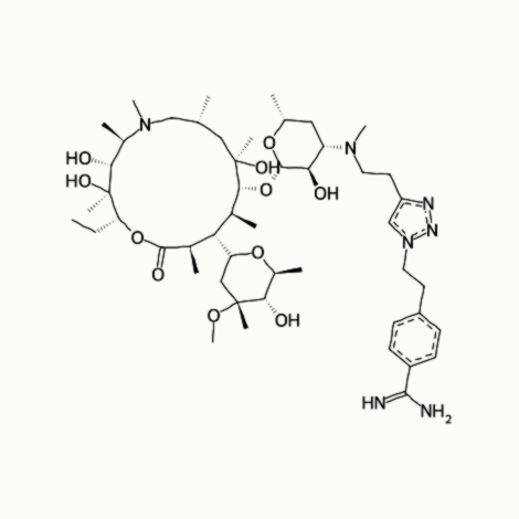 CC[C@H]1OC(=O)[C@H](C)[C@@H](C2C[C@@](C)(OC)[C@@H](O)[C@H](C)O2)[C@H](C)[C@@H](O[C@@H]2O[C@H](C)C[C@H](N(C)CCc3cn(CCc4ccc(C(=N)N)cc4)nn3)[C@H]2O)[C@](C)(O)C[C@@H](C)CN(C)[C@H](C)[C@@H](O)[C@]1(C)O